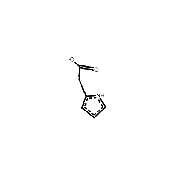 [O]C(=O)Cc1ccc[nH]1